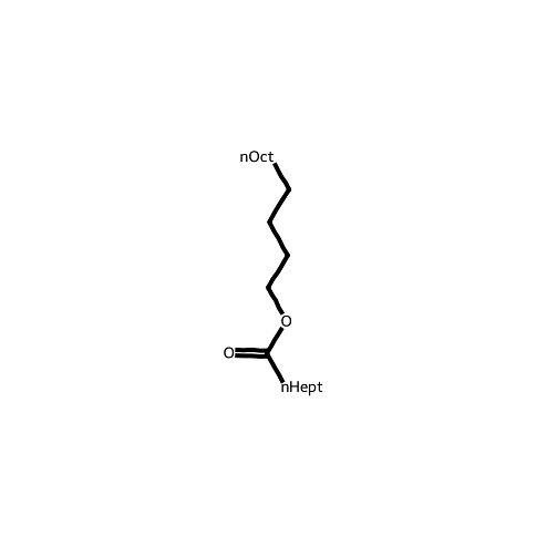 CCCCCCCCCCCCOC(=O)CCCCCCC